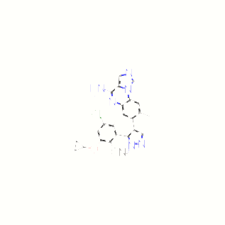 Cc1cc2c(cc1-c1cnn(C)c1-c1c(F)c(Cl)cc(OC3CC3)c1C#N)nc(N)c1cncn12